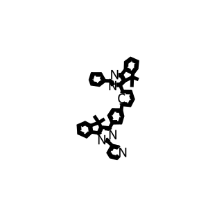 CC1(C)c2ccccc2-c2nc(-c3cccnc3)nc(-c3ccc(-c4cccc(-c5nc(-c6ccccc6)nc6c5C(C)(C)c5ccccc5-6)c4)cc3)c21